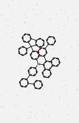 c1ccc(-c2cccc(-c3c(N(c4ccc(-c5ccccc5-c5ccccc5)cc4)c4ccc(C5(c6ccccc6)c6ccccc6-c6ccccc65)cc4)c4ccccc4c4ccccc34)c2)cc1